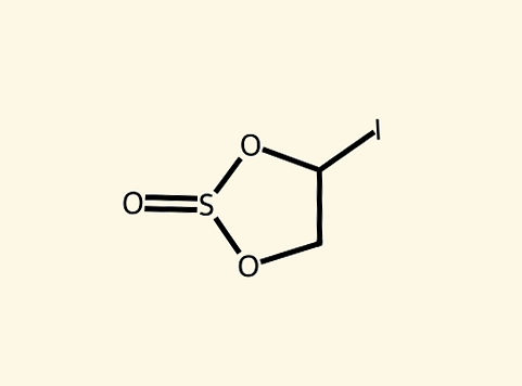 O=S1OCC(I)O1